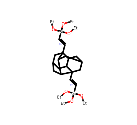 CCO[Si](/C=C/C12CC3CC4C1CC1CC2C(C3)C4(/C=C/[Si](OCC)(OCC)OCC)C1)(OCC)OCC